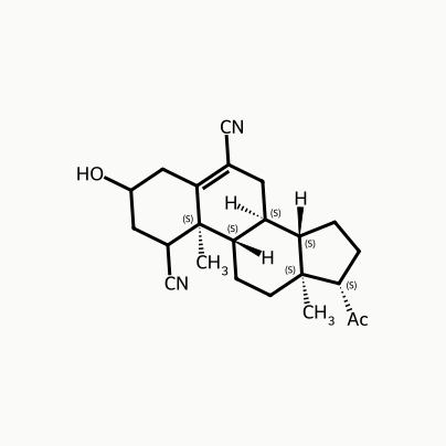 CC(=O)[C@H]1CC[C@H]2[C@@H]3CC(C#N)=C4CC(O)CC(C#N)[C@]4(C)[C@H]3CC[C@]12C